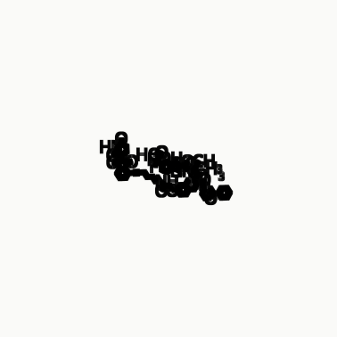 CC(C)(C)[C@H](NC(=O)c1cc2cc(C(F)(F)P(=O)(O)O)ccc2s1)C(=O)N1Cc2cc(OCC(=O)NCCCCC#Cc3cccc4c3C(=O)N(C3CCC(=O)NC3=O)C4=O)ccc2C[C@H]1C(=O)N1CCO[C@H](c2ccccc2)C1